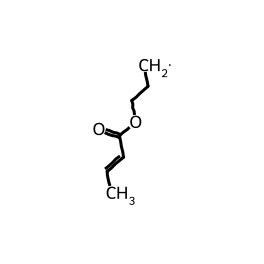 [CH2]CCOC(=O)C=CC